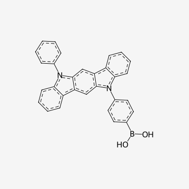 OB(O)c1ccc(-n2c3ccccc3c3cc4c(cc32)c2ccccc2n4-c2ccccc2)cc1